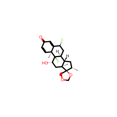 C[C@H]1C[C@H]2[C@@H]3C[C@H](F)C4=CC(=O)C=C[C@]4(C)[C@@]3(F)[C@@H](O)C[C@]2(C)[C@]12OCOC21CCCO1